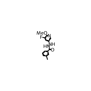 COc1ncc(NNC(=O)c2cccc(C)c2)cc1F